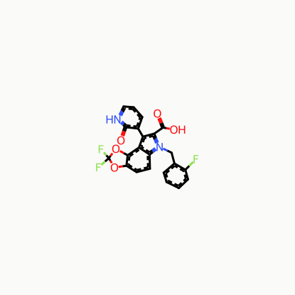 O=C(O)c1c(-c2ccc[nH]c2=O)c2c3c(ccc2n1Cc1ccccc1F)OC(F)(F)O3